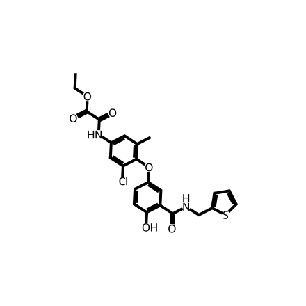 CCOC(=O)C(=O)Nc1cc(C)c(Oc2ccc(O)c(C(=O)NCc3cccs3)c2)c(Cl)c1